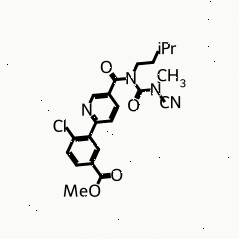 COC(=O)c1ccc(Cl)c(-c2ccc(C(=O)N(CCC(C)C)C(=O)N(C)C#N)cn2)c1